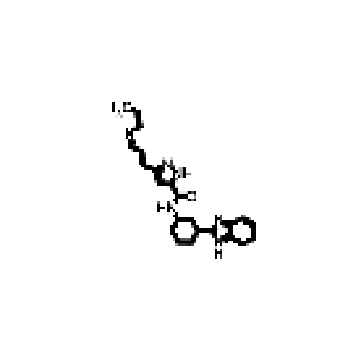 C\C=C/N=C\C=C\c1cc(C(=O)NC2CCCC(c3nc4c([nH]3)CCC=C4)C2)[nH]n1